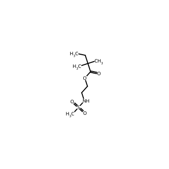 CCC(C)(C)C(=O)OCCNS(C)(=O)=O